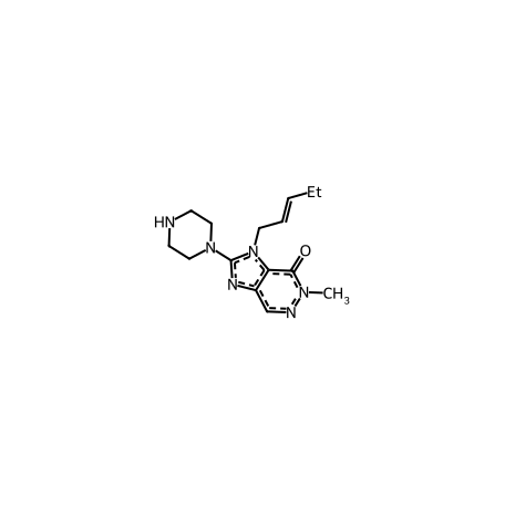 CCC=CCn1c(N2CCNCC2)nc2cnn(C)c(=O)c21